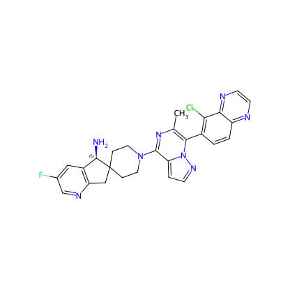 Cc1nc(N2CCC3(CC2)Cc2ncc(F)cc2[C@H]3N)c2ccnn2c1-c1ccc2nccnc2c1Cl